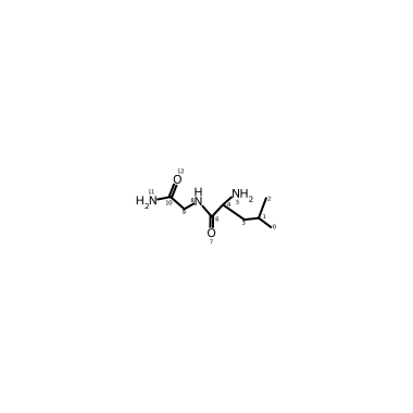 CC(C)CC(N)C(=O)NCC(N)=O